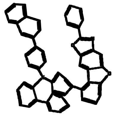 c1ccc(-c2nc3cc4oc5cccc(-c6ccc(N(c7ccc(-c8ccc9ccccc9c8)cc7)c7ccccc7-c7ccccc7)cc6)c5c4cc3o2)cc1